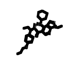 CCCOc1ccc(C(CC)NC(=O)c2cnc3c(cnn3CC)c2NC2CCCCC2)cc1